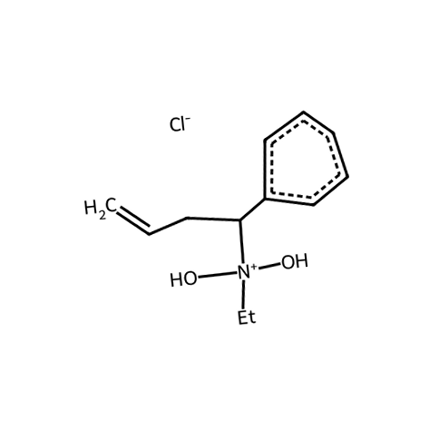 C=CCC(c1ccccc1)[N+](O)(O)CC.[Cl-]